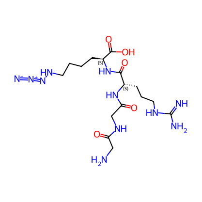 [N-]=[N+]=NNCCCC[C@H](NC(=O)[C@H](CCCNC(=N)N)NC(=O)CNC(=O)CN)C(=O)O